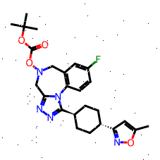 Cc1cc([C@H]2CC[C@H](c3nnc4n3-c3ccc(F)cc3CN(OC(=O)OC(C)(C)C)C4)CC2)no1